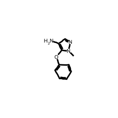 Cn1ncc(N)c1Oc1ccccc1